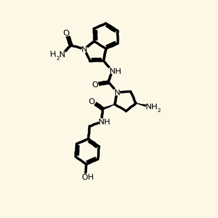 NC(=O)n1cc(NC(=O)N2C[C@@H](N)C[C@H]2C(=O)NCc2ccc(O)cc2)c2ccccc21